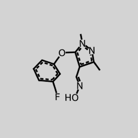 Cc1nn(C)c(Oc2cccc(F)c2)c1C=NO